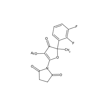 CC(=O)OC1=C(N2C(=O)CCC2=O)OC(C)(c2cccc(F)c2F)C1=O